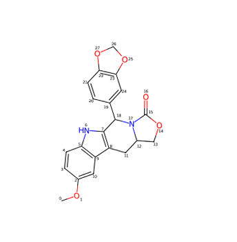 COc1ccc2[nH]c3c(c2c1)CC1COC(=O)N1C3c1ccc2c(c1)OCO2